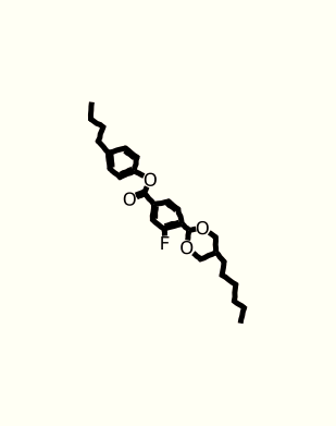 CCCCCCC1COC(c2ccc(C(=O)Oc3ccc(CCCC)cc3)cc2F)OC1